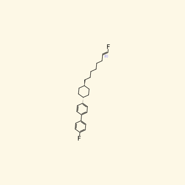 F/C=C/CCCCCC[C@H]1CC[C@H](c2ccc(-c3ccc(F)cc3)cc2)CC1